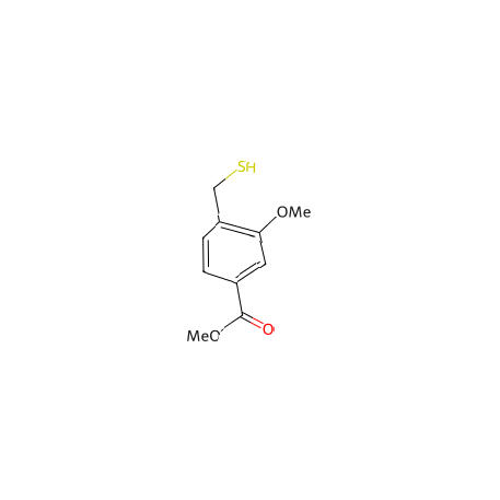 COC(=O)c1ccc(CS)c(OC)c1